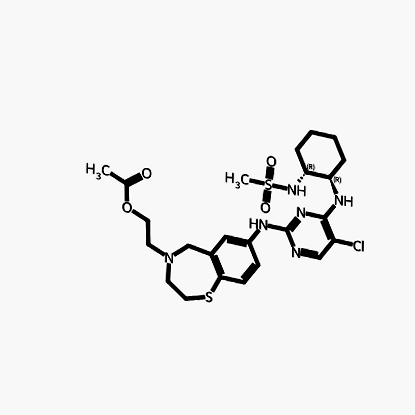 CC(=O)OCCN1CCSc2ccc(Nc3ncc(Cl)c(N[C@@H]4CCCC[C@H]4NS(C)(=O)=O)n3)cc2C1